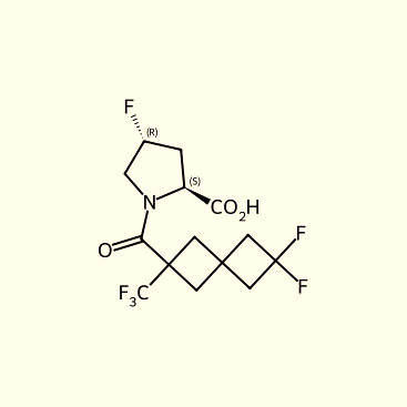 O=C(O)[C@@H]1C[C@@H](F)CN1C(=O)C1(C(F)(F)F)CC2(CC(F)(F)C2)C1